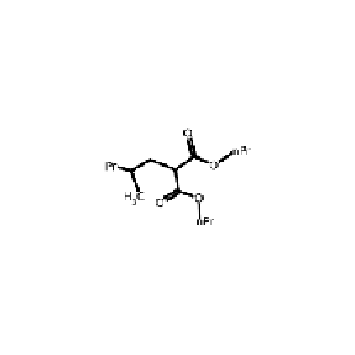 CCCOC(=O)C(CC(C)C(C)C)C(=O)OCCC